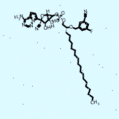 CCCCCCCCCCCCCCCCCCC[C@H](COP(=O)(O)OC1[C@H]2O[C@@](C#N)(c3ccc4c(N)ncnn34)[C@H](O)[C@@]12O)OCc1cc(F)cc(C#N)c1